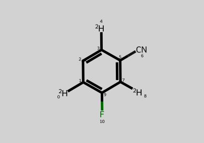 [2H]c1[c]c([2H])c(C#N)c([2H])c1F